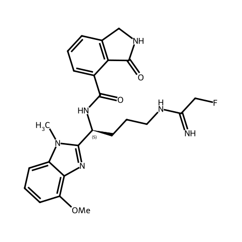 COc1cccc2c1nc([C@H](CCCNC(=N)CF)NC(=O)c1cccc3c1C(=O)NC3)n2C